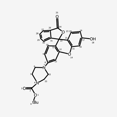 CC(C)(C)OC(=O)N1CCN(c2ccc3c(c2)Oc2cc(O)ccc2C32OC(=O)c3ccccc32)CC1